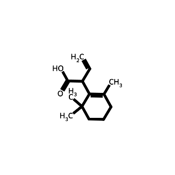 C=CC(C(=O)O)C1=C(C)CCCC1(C)C